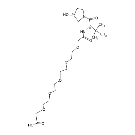 CC(C)(C)[C@H](NC(=O)COCCOCCOCCOCCOCC(=O)O)C(=O)N1CC[C@@H](O)C1